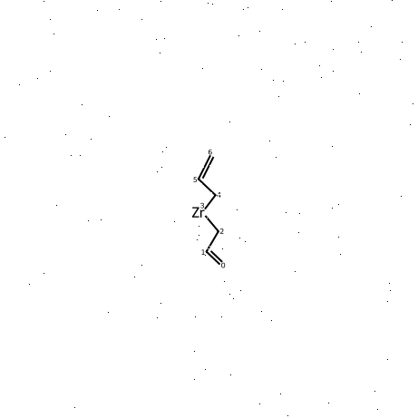 C=C[CH2][Zr][CH2]C=C